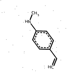 [CH]=Cc1ccc(NC)cc1